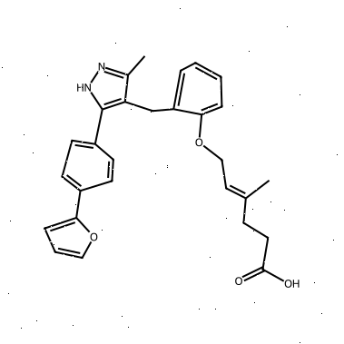 C/C(=C\COc1ccccc1Cc1c(C)n[nH]c1-c1ccc(-c2ccco2)cc1)CCC(=O)O